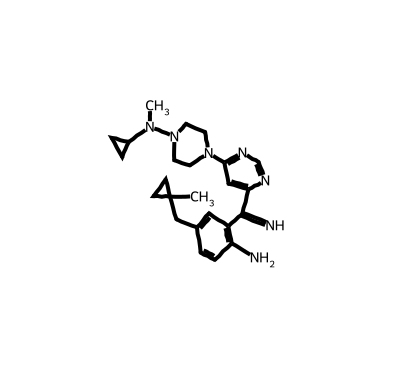 CN(C1CC1)N1CCN(c2cc(C(=N)c3cc(CC4(C)CC4)ccc3N)ncn2)CC1